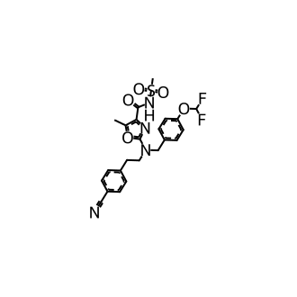 Cc1oc(N(CCc2ccc(C#N)cc2)Cc2ccc(OC(F)F)cc2)nc1C(=O)NS(C)(=O)=O